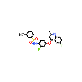 Cc1cc(Oc2ccc(NS(=O)(=O)c3cccc(C#N)c3)c(F)c2)c2cc(F)ccc2n1